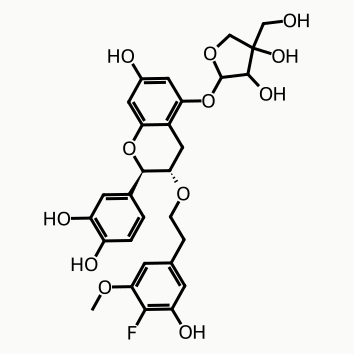 COc1cc(CCO[C@H]2Cc3c(OC4OCC(O)(CO)C4O)cc(O)cc3O[C@@H]2c2ccc(O)c(O)c2)cc(O)c1F